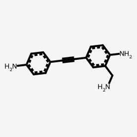 NCc1cc(C#Cc2ccc(N)cc2)ccc1N